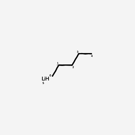 C[CH]CCC.[LiH]